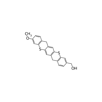 COc1ccc2c(c1)Sc1cc3c(cc1C2)Sc1cc(CO)ccc1C3